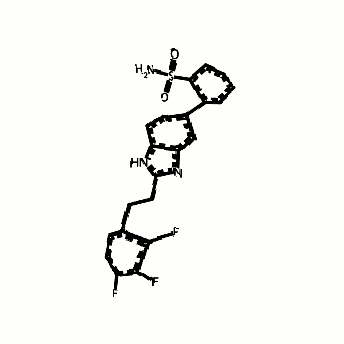 NS(=O)(=O)c1ccccc1-c1ccc2[nH]c(CCc3ccc(F)c(F)c3F)nc2c1